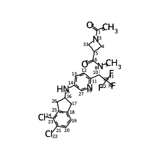 CC(=O)N1CC(C(=O)N(C)[C@@H](c2ccc(NC3Cc4ccc(Cl)c(Cl)c4C3)cn2)C(F)(F)F)C1